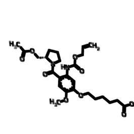 C=CCOC(=O)Nc1cc(OCCCCCC(=O)O)c(OC)cc1C(=O)N1CCC[C@H]1COC(C)=O